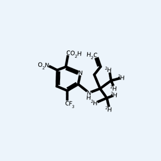 [2H]C([2H])([2H])C(CC=C)(Nc1nc(C(=O)O)c([N+](=O)[O-])cc1C(F)(F)F)C([2H])([2H])[2H]